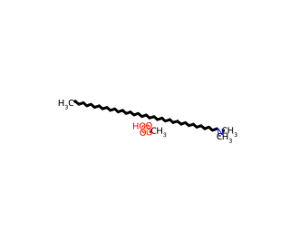 CCCCCCCCCCCCCCCCCCCCCCCCCCCCCCCCCCCCCCN(C)C.COS(=O)(=O)O